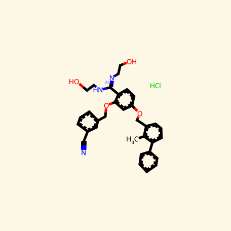 Cc1c(COc2ccc(/C(=N\CCO)NCCO)c(OCc3cccc(C#N)c3)c2)cccc1-c1ccccc1.Cl